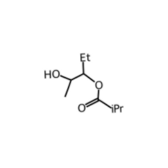 CCC(OC(=O)C(C)C)C(C)O